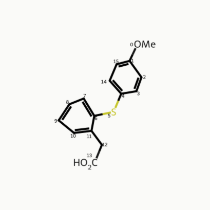 COc1ccc(Sc2ccccc2CC(=O)O)cc1